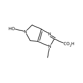 Cn1c(C(=O)O)nc2c1CN(O)C2